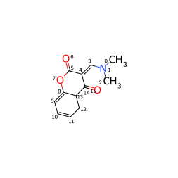 CN(C)C=C1C(=O)OC2=CC=CCC2C1=O